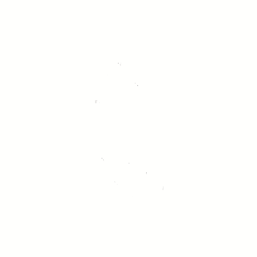 Cc1cnc2[nH]c(Cc3cc4ncncc4[nH]3)cc2c1